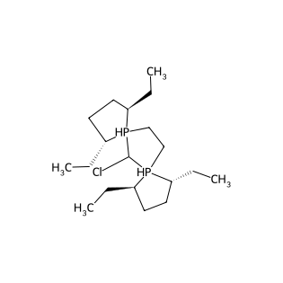 CC[C@@H]1CC[C@@H](CC)[PH]12CC[PH]1(C2Cl)[C@H](CC)CC[C@H]1CC